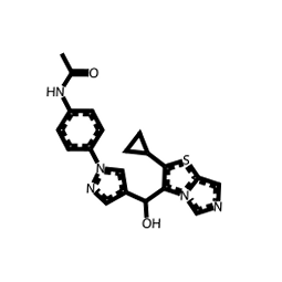 CC(=O)Nc1ccc(-n2cc(C(O)c3c(C4CC4)sc4cncn34)cn2)cc1